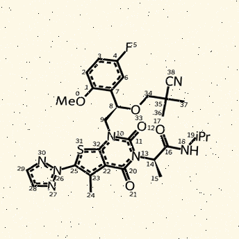 COc1ccc(F)cc1[C@H](Cn1c(=O)n([C@H](C)C(=O)NC(C)C)c(=O)c2c(C)c(-n3nccn3)sc21)OCC(C)(C)C#N